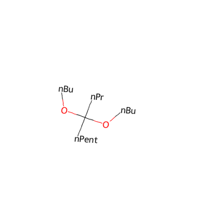 CCCCCC(CCC)(OCCCC)OCCCC